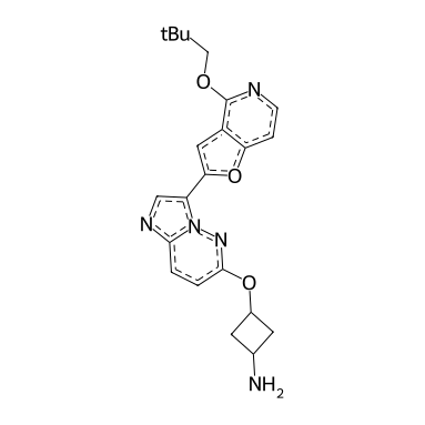 CC(C)(C)COc1nccc2oc(-c3cnc4ccc(OC5CC(N)C5)nn34)cc12